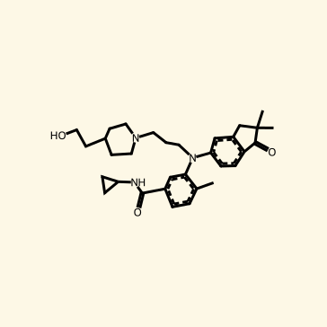 Cc1ccc(C(=O)NC2CC2)cc1N(CCCN1CCC(CCO)CC1)c1ccc2c(c1)CC(C)(C)C2=O